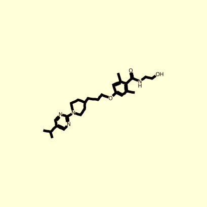 Cc1cc(OCCCC2CCN(c3ncc(C(C)C)cn3)CC2)cc(C)c1C(=O)NCCO